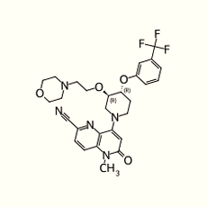 Cn1c(=O)cc(N2CC[C@@H](Oc3cccc(C(F)(F)F)c3)[C@H](OCCN3CCOCC3)C2)c2nc(C#N)ccc21